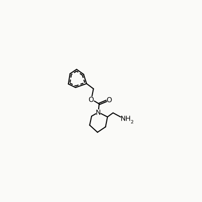 NCC1CCCCN1C(=O)OCc1ccccc1